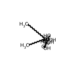 CCCCCCCCCCCCCCCCCCN(C(=O)CCCCCCCCCCCCC)[C@@H]1O[C@H](CO)[C@@H](O)[C@H](O)[C@H]1NC(=O)CCC(=O)O